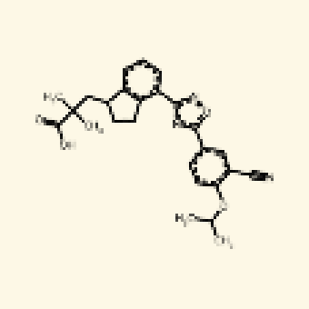 CC(C)Oc1ccc(-c2nc(-c3cccc4c3CCC4CC(C)(C)C(=O)O)no2)cc1C#N